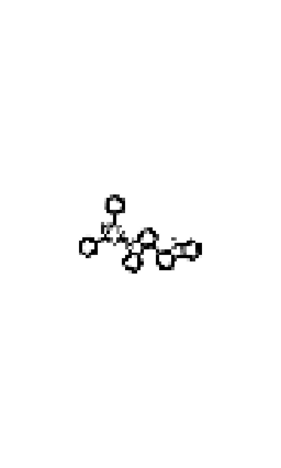 c1ccc(-c2nc(-c3ccccc3)nc(-n3c4ccccc4c4c(-c5cccc6c5sc5ccccc56)cccc43)n2)cc1